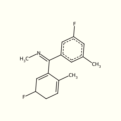 C/N=C(\C1=CC(F)CC=C1C)c1cc(C)cc(F)c1